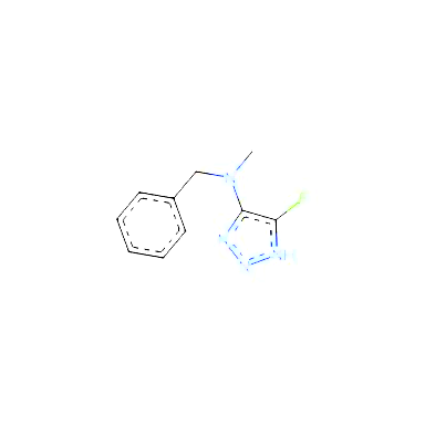 CN(Cc1ccccc1)c1nn[nH]c1F